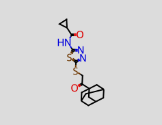 O=C(Nc1nnc(SCC(=O)C23CC4CC(CC(C4)C2)C3)s1)C1CC1